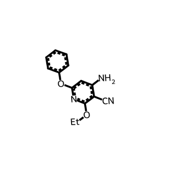 CCOc1nc(Oc2ccccc2)cc(N)c1C#N